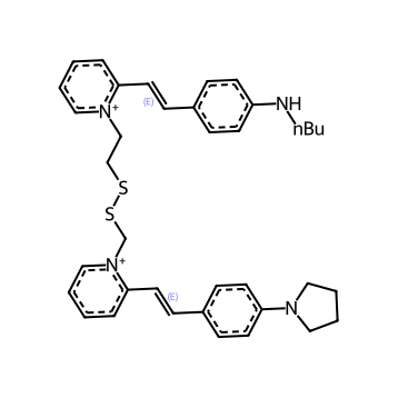 CCCCNc1ccc(/C=C/c2cccc[n+]2CCSSC[n+]2ccccc2/C=C/c2ccc(N3CCCC3)cc2)cc1